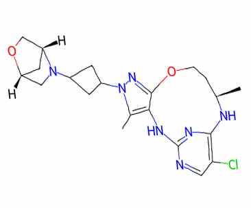 Cc1c2c(nn1C1CC(N3C[C@H]4C[C@@H]3CO4)C1)OCC[C@@H](C)Nc1nc(ncc1Cl)N2